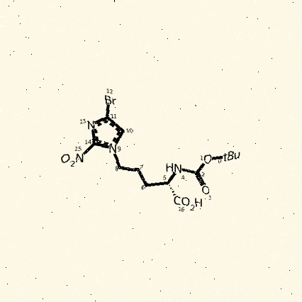 CC(C)(C)OC(=O)N[C@@H](CCCn1cc(Br)nc1[N+](=O)[O-])C(=O)O